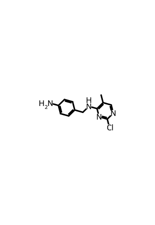 Cc1cnc(Cl)nc1NCc1ccc(N)cc1